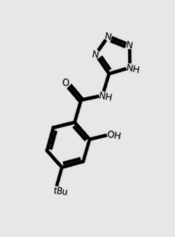 CC(C)(C)c1ccc(C(=O)Nc2nnn[nH]2)c(O)c1